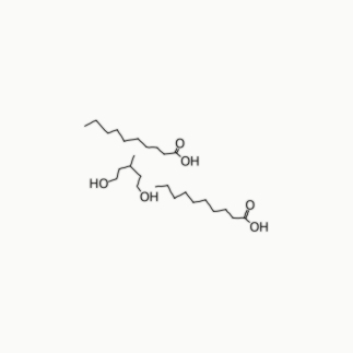 CC(CCO)CCO.CCCCCCCCCC(=O)O.CCCCCCCCCC(=O)O